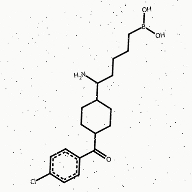 NC(CCCCB(O)O)C1CCC(C(=O)c2ccc(Cl)cc2)CC1